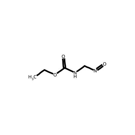 CCOC(=O)NCN=O